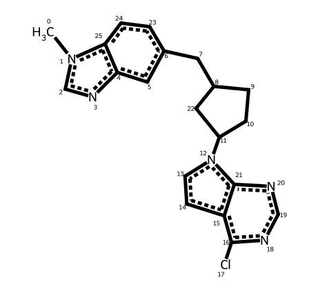 Cn1cnc2cc(CC3CCC(n4ccc5c(Cl)ncnc54)C3)ccc21